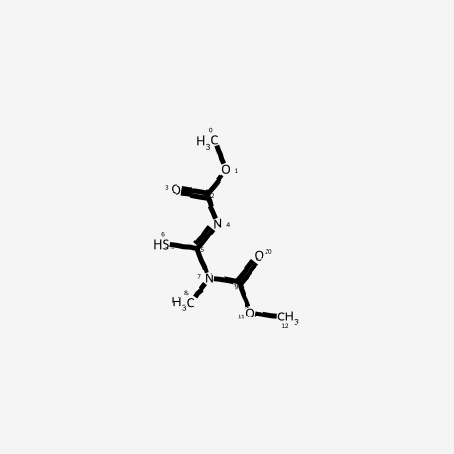 COC(=O)N=C(S)N(C)C(=O)OC